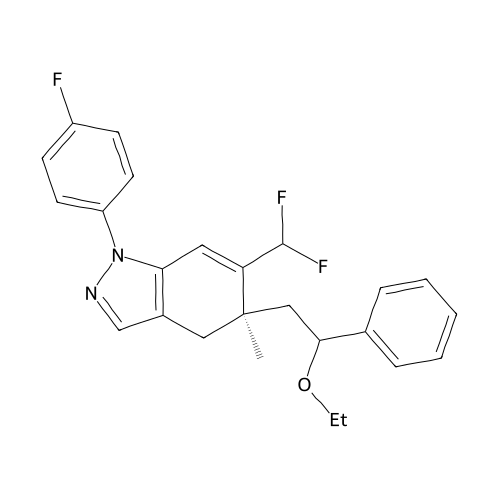 CCOC(C[C@@]1(C)Cc2cnn(-c3ccc(F)cc3)c2C=C1C(F)F)c1ccccc1